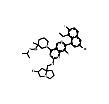 CCc1c(F)ccc2cc(O)cc(-c3ncc4c(N5CCCC(C)(BOC(C)C)C5)nc(OCC56CCCN5CC(F)C6)nc4c3F)c12